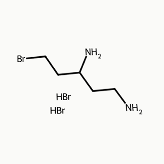 Br.Br.NCCC(N)CCBr